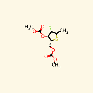 COC(=O)OC[C@H]1SC(C)[C@@H](F)[C@@H]1OC(=O)OC